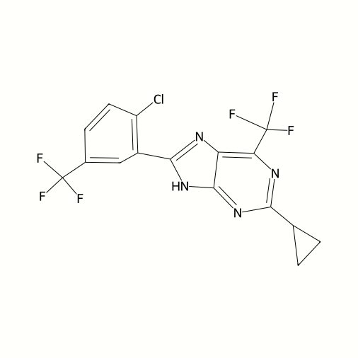 FC(F)(F)c1ccc(Cl)c(-c2nc3c(C(F)(F)F)nc(C4CC4)nc3[nH]2)c1